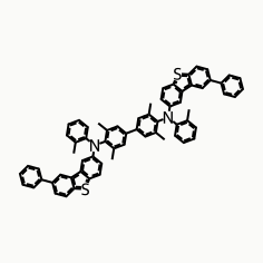 Cc1ccccc1N(c1ccc2sc3ccc(-c4ccccc4)cc3c2c1)c1c(C)cc(-c2cc(C)c(N(c3ccc4sc5ccc(-c6ccccc6)cc5c4c3)c3ccccc3C)c(C)c2)cc1C